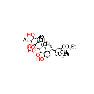 CCOC(=O)C(=C\c1ccc(O)c2c1C[C@]1(C)C[C@]3(C)C(C(C)C)C(O)=C(C(C)=O)C(=O)[C@]3(O)C(O)=C1C2=O)/C=C(\C)C(=O)OCC